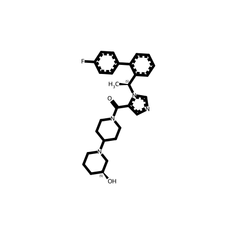 C[C@@H](c1ccccc1-c1ccc(F)cc1)n1cncc1C(=O)N1CCC(N2CCC[C@H](O)C2)CC1